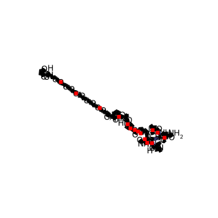 CCn1nc(C)cc1C(=O)/N=c1\[nH]c2cc(C(N)=O)cc(OC)c2n1C/C=C/Cn1/c(=N/C(=O)c2cc(C)nn2CC)[nH]c2cc(C(N)=O)cc(OCCCN3CCN(C(=O)OCc4ccc(NC(=O)[C@@H](NC(=O)C[C@@H]5CCCN5C(=O)[C@H](C)NC(=O)CCOCCOCCOCCOCCOCCOCCOCCOCCOCCOCCNC(=O)CN5C(=O)C=CC5=O)C(C)C)cc4)CC3)c21